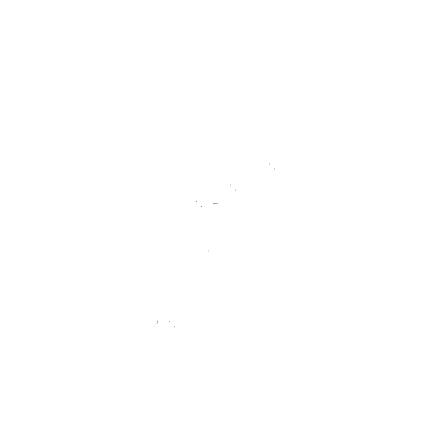 CNSc1ccc(-c2ccc(C[C@@H](C#N)NC(=O)C3C4CC(C5C4[C@@H]5C)N3C)c(F)c2)cc1